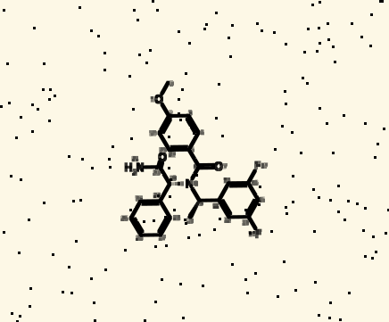 COc1ccc(C(=O)N([C@H](C)c2cc(F)cc(F)c2)[C@@H](C(N)=O)c2ccccc2)cc1